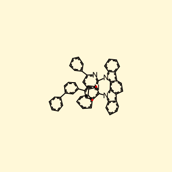 c1ccc(-c2cccc(-c3ccc(-n4c5ccccc5c5ccc6c7ccccc7n(-c7nc(-c8ccccc8)cc(-c8ccccc8)n7)c6c54)cc3)c2)cc1